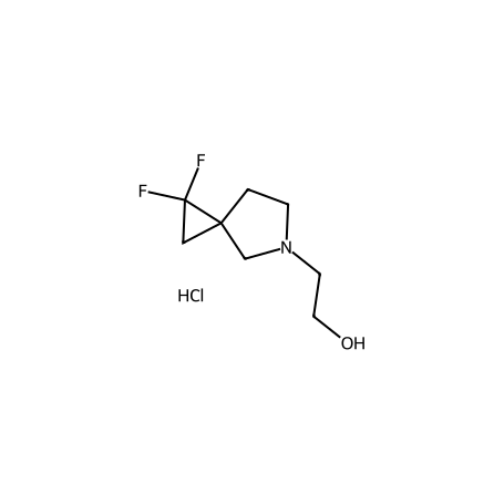 Cl.OCCN1CCC2(C1)CC2(F)F